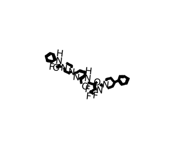 Cc1nc(N2CCN(C(=O)Nc3ccccc3F)CC2)ccc1NC(=O)c1oc(N2CCC(c3ccccc3)CC2)nc1C(F)(F)F